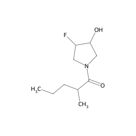 CCCC(C)C(=O)N1CC(O)C(F)C1